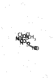 COc1cc(Nc2c(C#N)cnc3cc(-c4ccc(/C=C/CN5CCOCC5)s4)ccc23)c(Cl)cc1Cl